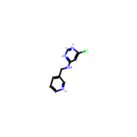 Clc1cc(NCc2cccnc2)ncn1